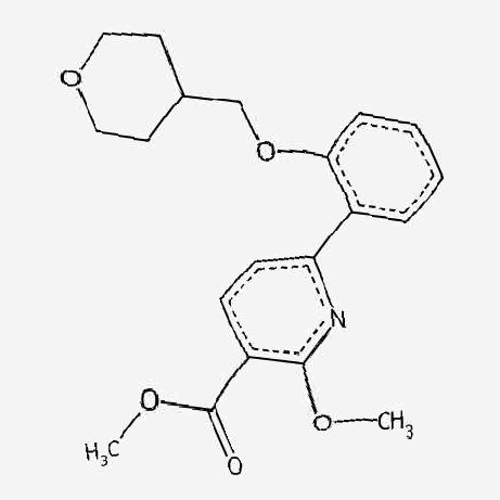 COC(=O)c1ccc(-c2ccccc2OCC2CCOCC2)nc1OC